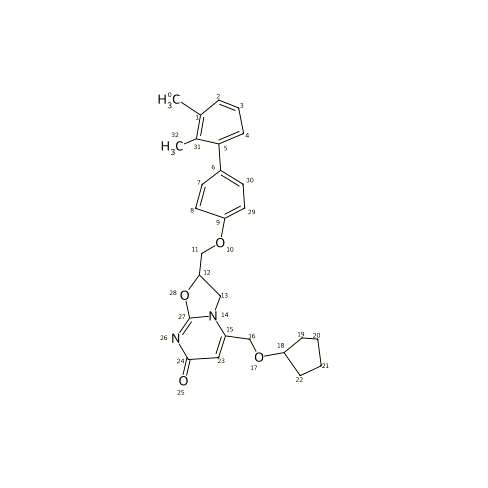 Cc1cccc(-c2ccc(OCC3Cn4c(COC5CCCC5)cc(=O)nc4O3)cc2)c1C